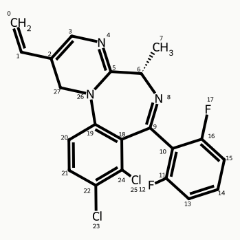 C=CC1=CN=C2[C@H](C)N=C(c3c(F)cccc3F)c3c(ccc(Cl)c3Cl)N2C1